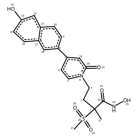 CC(CCn1ccc(-c2ccc3cc(O)ccc3c2)cc1=O)(C(=O)NO)S(C)(=O)=O